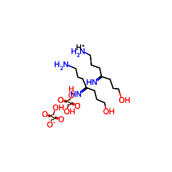 N=C(CCCN)CCCO.N=C(CCCN)CCCO.O=S(=O)(O)O.O=S(=O)([O-])O.[H+]